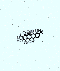 CC(=O)C1=C(O)C(N(C)C)C2C(O)C3C(=C(O)C2(O)C1=O)C(=O)c1c(ccc(C(C)(C)C)c1O)C3C